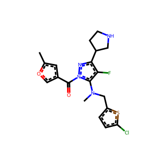 Cc1cc(C(=O)n2nc(C3CCNC3)c(F)c2N(C)Cc2ccc(Cl)s2)co1